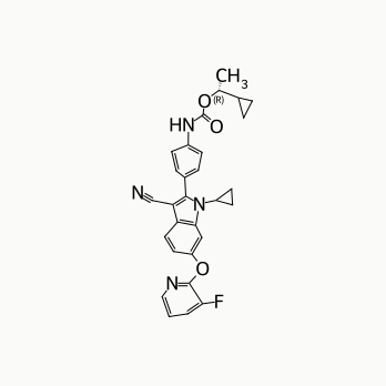 C[C@@H](OC(=O)Nc1ccc(-c2c(C#N)c3ccc(Oc4ncccc4F)cc3n2C2CC2)cc1)C1CC1